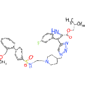 COCc1ccccc1-c1ccc(S(=O)(=O)NCCN2CCC(Cn3cc(-c4c(C(=O)OCC(C)C)[nH]c5ccc(F)cc45)nn3)CC2)cc1